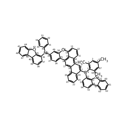 Cc1cc(C)c(B(c2cc3c4cccc5c4c(cc3c3ccccc23)-c2ccc(N(c3ccccc3)c3cccc4c3oc3ccccc34)cc2O5)c2cccc3c2sc2ccccc23)c(C)c1